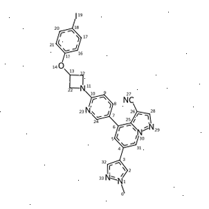 Cn1cc(-c2cc(-c3ccc(N4CC(Oc5ccc(I)cc5)C4)nc3)c3c(C#N)cnn3c2)cn1